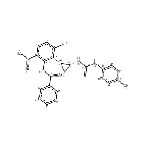 CCC(=O)c1ccc(F)c([C@H]2C[C@H]2NC(=O)Nc2ccc(C#N)cn2)c1OC(=O)c1cccnc1